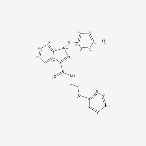 O=C(NCCOc1ccncc1)c1nn(Cc2ccc(Cl)cc2)c2ccccc12